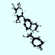 CCC1SC(=O)NN=C1c1ccc2c(c1)CCCN2C(=N)c1ccc(F)cc1